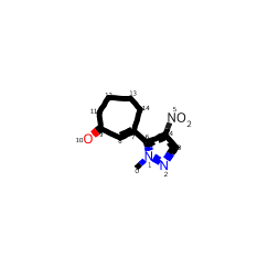 Cn1ncc([N+](=O)[O-])c1C1=CC(=O)CCCC1